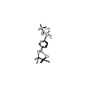 CC1(C)OB(c2ccc([13C]([13CH3])([13CH3])O[Si](C)(C)C)nc2)OC1(C)C